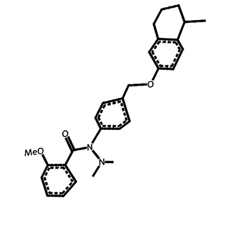 COc1ccccc1C(=O)N(c1ccc(COc2ccc3c(c2)CCCC3C)cc1)N(C)C